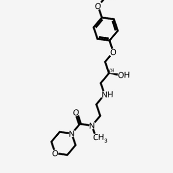 CCCCOc1ccc(OC[C@@H](O)CNCCN(C)C(=O)N2CCOCC2)cc1